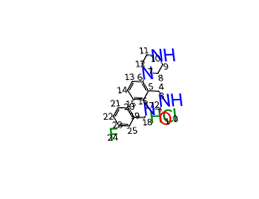 Cl.O=C1NCc2c(N3CCNCC3)cccc2N1Cc1cccc(F)c1